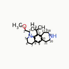 COCCN1CCCc2cc3c(c(C(C)C)c21)CCNCC3